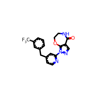 O=C1NCCOc2c1cnn2-c1cc(Cc2cccc(C(F)(F)F)c2)ccn1